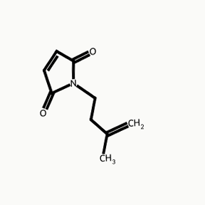 C=C(C)CCN1C(=O)C=CC1=O